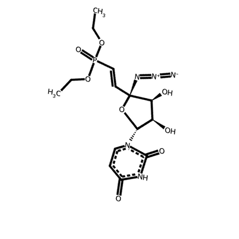 CCOP(=O)(/C=C/[C@@]1(N=[N+]=[N-])O[C@@H](n2ccc(=O)[nH]c2=O)[C@H](O)[C@@H]1O)OCC